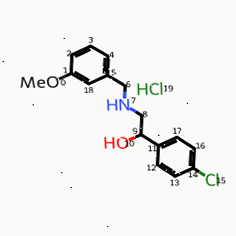 COc1cccc(CNCC(O)c2ccc(Cl)cc2)c1.Cl